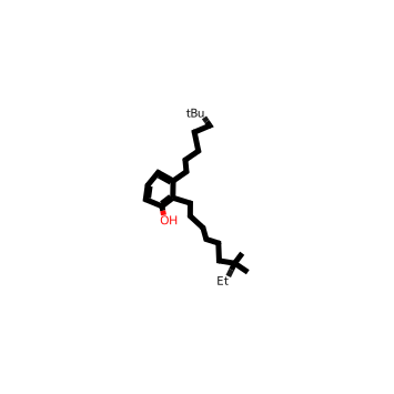 CCC(C)(C)CCCCCCc1c(O)cccc1CCCCCC(C)(C)C